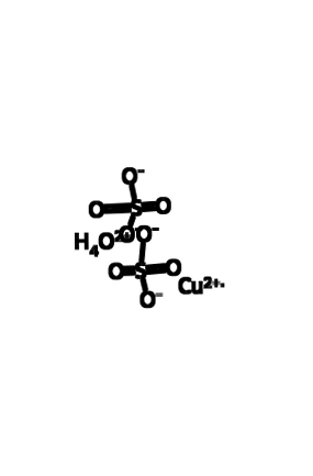 O=S(=O)([O-])[O-].O=S(=O)([O-])[O-].[Cu+2].[OH4+2]